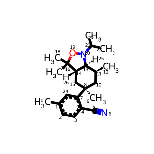 Cc1ccc(C#N)c([C@]2(C)C[C@H](C)[C@H]3[C@H](C2)C(C)(C)ON3C(C)C)c1